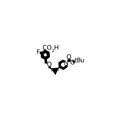 CC(C)(C)OC(=O)N1CCC([C@H]2C[C@H]2COCc2ccc(C(=O)O)c(F)c2)CC1